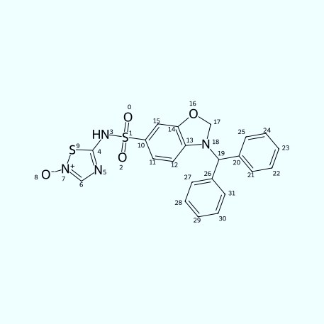 O=S(=O)(Nc1nc[n+]([O-])s1)c1ccc2c(c1)OCN2C(c1ccccc1)c1ccccc1